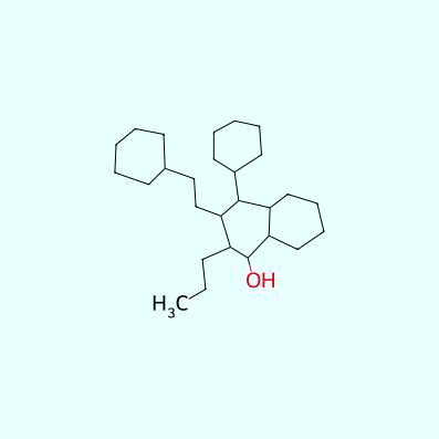 CCCC1C(O)C2CCCCC2C(C2CCCCC2)C1CCC1CCCCC1